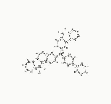 CC1(C)c2ccccc2-c2cc(N(c3ccc(-c4ccccc4)cc3)c3ccc4c5c(ccc4c3)-c3ccccc3C5(C)C)ccc21